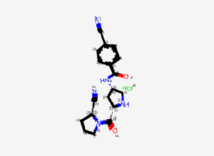 Cl.N#Cc1ccc(C(=O)N[C@@H]2CN[C@H](C(=O)N3CCC[C@H]3C#N)C2)cc1